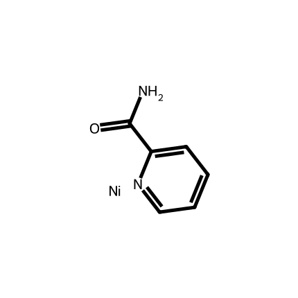 NC(=O)c1ccccn1.[Ni]